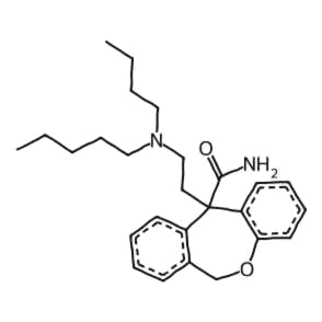 CCCCCN(CCCC)CCC1(C(N)=O)c2ccccc2COc2ccccc21